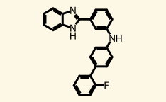 Fc1ccccc1-c1ccc(Nc2cccc(-c3nc4ccccc4[nH]3)c2)cc1